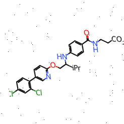 CC(C)C(COc1ccc(-c2ccc(Cl)cc2Cl)cn1)Nc1ccc(C(=O)NCCC(=O)O)cc1